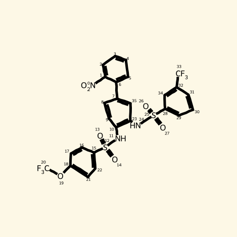 O=[N+]([O-])c1ccccc1-c1ccc(NS(=O)(=O)c2ccc(OC(F)(F)F)cc2)c(NS(=O)(=O)c2cccc(C(F)(F)F)c2)c1